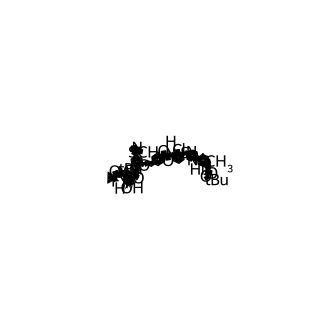 Cc1ncsc1-c1ccc(CNC(=O)[C@@H]2C[C@@H](O)CN2C(=O)[C@@H](NC(=O)C2(F)CC2)C(C)(C)C)c(OCCC2CCN(C(=O)C(=O)Nc3cccc(Sc4cnc(N5CCC(C)(CNC(=O)OC(C)(C)C)CC5)cn4)c3Cl)CC2)c1